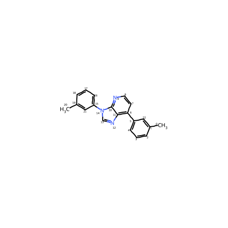 Cc1cccc(-c2ccnc3c2ncn3-c2cccc(C)c2)c1